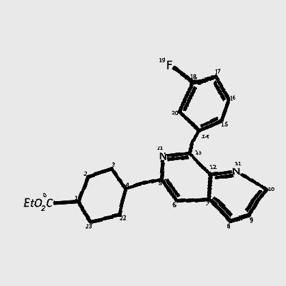 CCOC(=O)C1CCC(c2cc3cccnc3c(-c3cccc(F)c3)n2)CC1